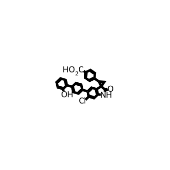 O=C(O)c1ccc(C2CC23C(=O)Nc2cc(Cl)c(-c4ccc(-c5ccccc5O)cc4)cc23)cc1